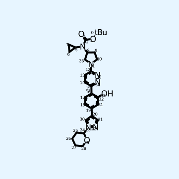 CC(C)(C)OC(=O)N(C1CC1)C1CCN(c2ccc(-c3ccc(-c4cnn(C5CCCCO5)c4)cc3O)nn2)C1